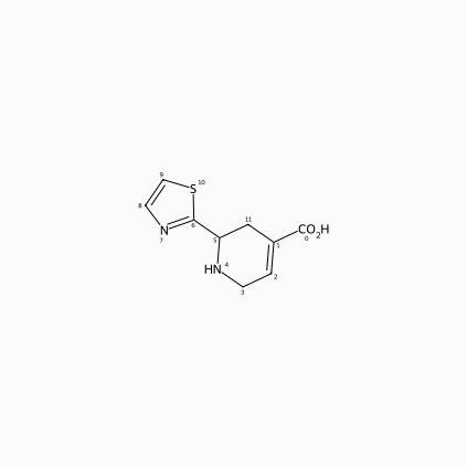 O=C(O)C1=CCNC(c2nccs2)C1